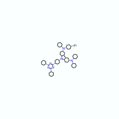 CC(C)c1ccc(N(c2ccccc2)c2ccc3c(c2)c2cc(N(c4ccccc4)c4ccccc4)ccc2n3-c2ccc(-c3nc(-c4ccccc4)nc(-c4ccccc4)n3)cc2)cc1